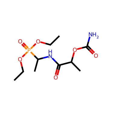 CCOP(=O)(OCC)C(C)NC(=O)C(C)OC(N)=O